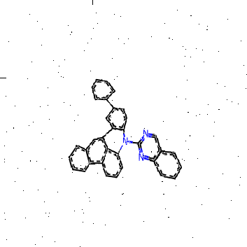 c1ccc(-c2ccc3c(c2)-c2cc4ccccc4c4cccc(c24)N3c2ncc3ccccc3n2)cc1